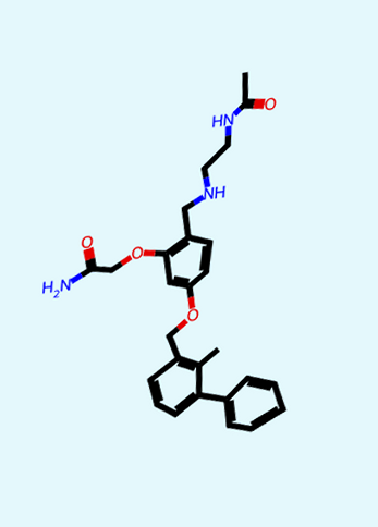 CC(=O)NCCNCc1ccc(OCc2cccc(-c3ccccc3)c2C)cc1OCC(N)=O